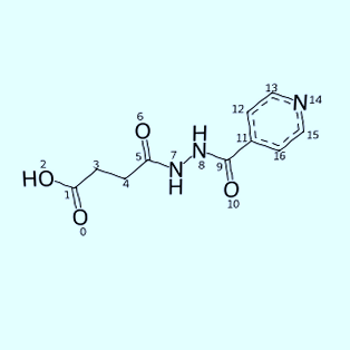 O=C(O)CCC(=O)NNC(=O)c1ccncc1